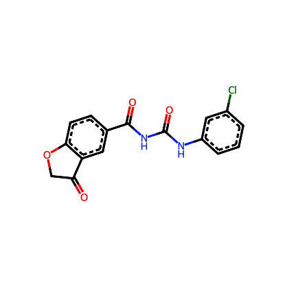 O=C(NC(=O)c1ccc2c(c1)C(=O)CO2)Nc1cccc(Cl)c1